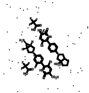 CCc1cc(C(=O)O)c(=O)[nH]c1-c1ccc(N2CC3CCCC3(C(=O)O)C2)cc1.CCc1cc(C(=O)O)c(=O)[nH]c1-c1ccc(N2C[C@@H]3[C@@H](N)[C@@H]3C2)cc1F.O=C(O)C(F)(F)F.O=C(O)C(F)(F)F